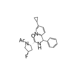 CC(=O)N1C[C@H](F)C[C@H]1C(=O)NC(c1ccccc1)c1ccc(C2CC2)cn1